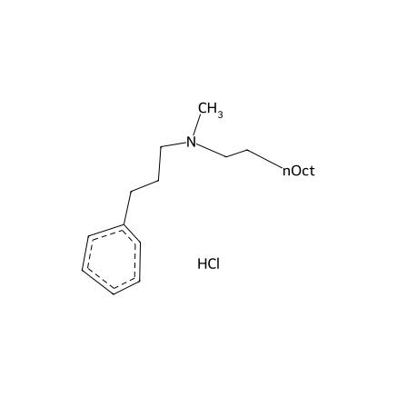 CCCCCCCCCCN(C)CCCc1ccccc1.Cl